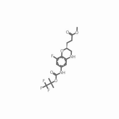 COC(=O)CC[C@H]1CNc2cc(NC(=O)OC(C)(C)C(F)(F)F)cc(F)c2O1